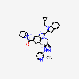 COc1cc(C(=O)N2CC3CCC2[C@@H]3N)cc2nc(-c3cc4ccccc4n3CC3CC3)n(Cc3cnn(-c4cccnc4C#N)c3)c12